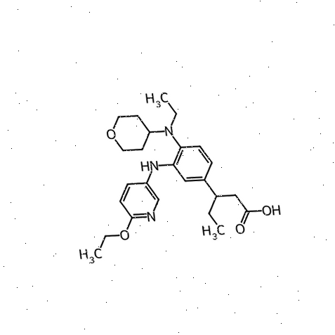 CCOc1ccc(Nc2cc(C(CC)CC(=O)O)ccc2N(CC)C2CCOCC2)cn1